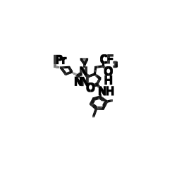 Cc1ccc(NC(=O)C[C@H](CC(O)C(F)(F)F)c2nnc([C@H]3C[C@@H](CC(C)C)C3)n2C2CC2)c(C)c1